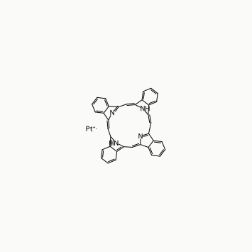 [Pt+].c1ccc2c(c1)-c1cc3[nH]c(cc4nc(cc5[nH]c(cc-2n1)c1ccccc51)-c1ccccc1-4)c1ccccc31